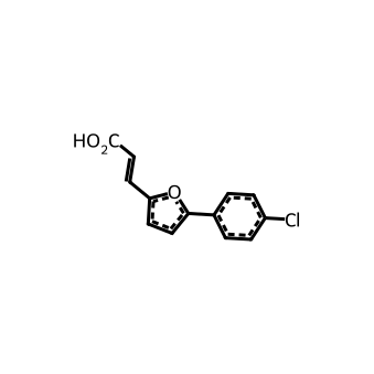 O=C(O)C=Cc1ccc(-c2ccc(Cl)cc2)o1